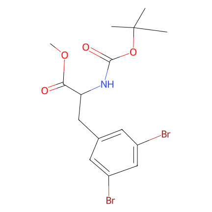 COC(=O)C(Cc1cc(Br)cc(Br)c1)NC(=O)OC(C)(C)C